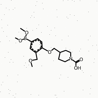 COCc1cc(B(OC)OC)ccc1OCC1CCN(C(=O)O)CC1